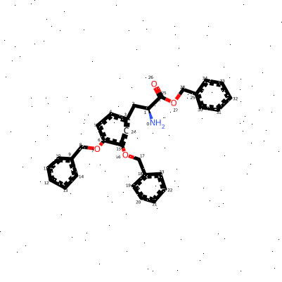 N[C@@H](Cc1ccc(OCc2ccccc2)c(OCc2ccccc2)c1)C(=O)OCc1ccccc1